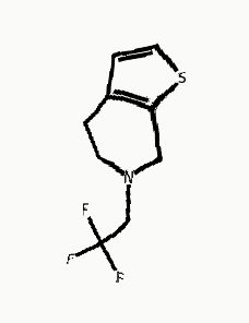 FC(F)(F)CN1CCc2ccsc2C1